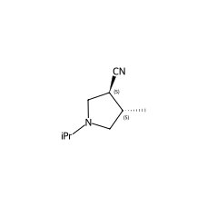 CC(C)N1C[C@@H](C)[C@H](C#N)C1